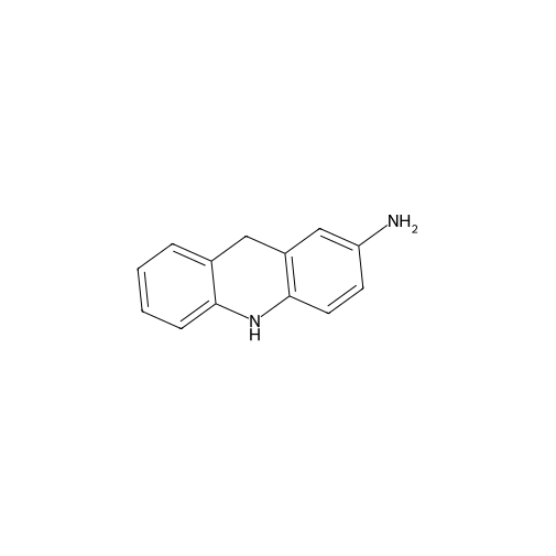 Nc1ccc2c(c1)Cc1ccccc1N2